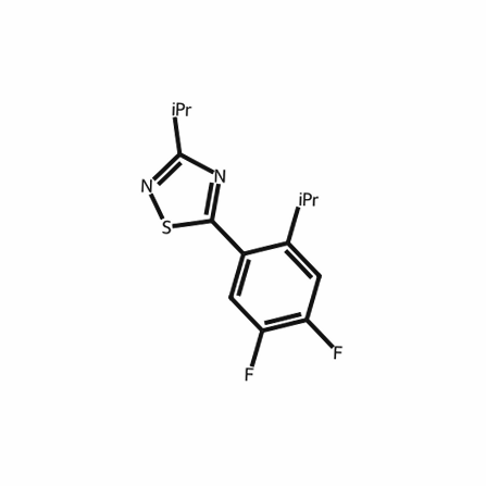 CC(C)c1nsc(-c2cc(F)c(F)cc2C(C)C)n1